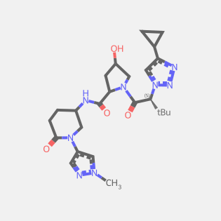 Cn1cc(N2CC(NC(=O)C3CC(O)CN3C(=O)[C@@H](n3cc(C4CC4)nn3)C(C)(C)C)CCC2=O)cn1